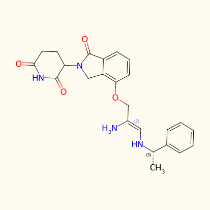 C[C@H](N/C=C(\N)COc1cccc2c1CN(C1CCC(=O)NC1=O)C2=O)c1ccccc1